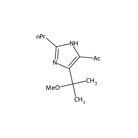 CCCc1nc(C(C)(C)OC)c(C(C)=O)[nH]1